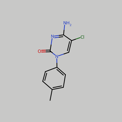 Cc1ccc(-n2cc(Cl)c(N)nc2=O)cc1